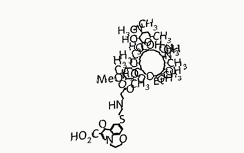 CC[C@H]1OC(=O)[C@H](C)[C@@H](O[C@H]2C[C@@](C)(OC)[C@@H](OC(=O)CCNCCSc3cc4c5c(c3)c(=O)c(C(=O)O)cn5CCCO4)[C@H](C)O2)[C@H](C)[C@@H](O[C@@H]2O[C@H](C)C[C@H](N(C)C)[C@H]2O)[C@](C)(O)C[C@@H](C)/C(=N\O)[C@H](C)[C@@H](O)[C@]1(C)O